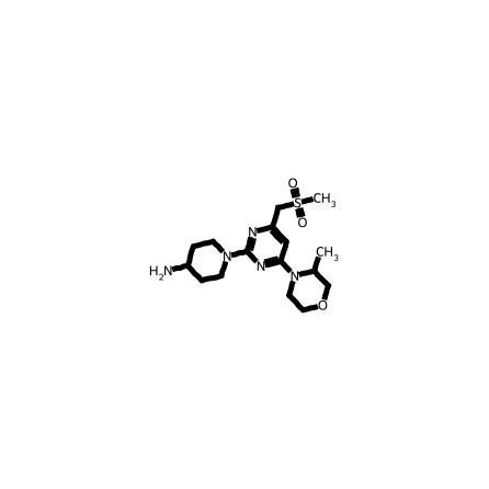 CC1COCCN1c1cc(CS(C)(=O)=O)nc(N2CCC(N)CC2)n1